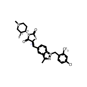 Cc1nn(Cc2ccc(Cl)cc2C(F)(F)F)c2ccc(/C=C3\SC(=O)N([C@H]4CCN(C)C[C@@H]4F)C3=O)cc12